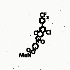 CNC(=O)ON1CCC(N2CCC(Cc3c(Cl)cc(-c4ccc(C(F)(F)F)cc4)cc3Cl)C2=O)CC1